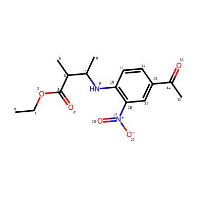 CCOC(=O)C(C)C(C)Nc1ccc(C(C)=O)cc1[N+](=O)[O-]